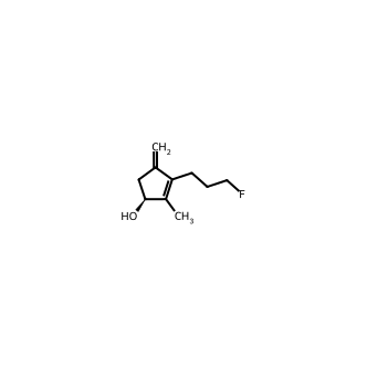 C=C1C[C@H](O)C(C)=C1CCCF